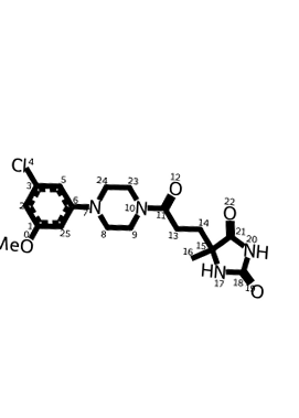 COc1cc(Cl)cc(N2CCN(C(=O)CCC3(C)NC(=O)NC3=O)CC2)c1